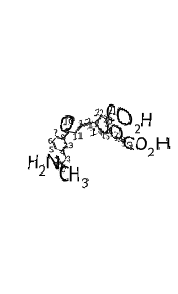 CC(N)Cc1cccc(C(=O)C=Cc2ccc(OCC(=O)O)c(C(=O)O)c2)c1